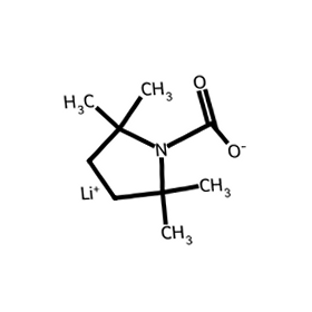 CC1(C)CCC(C)(C)N1C(=O)[O-].[Li+]